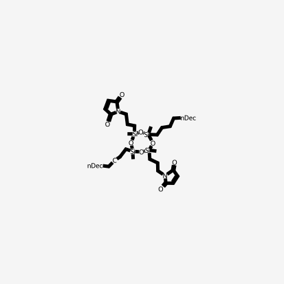 CCCCCCCCCCCCCC[Si]1(C)O[Si](C)(CCCN2C(=O)C=CC2=O)O[Si](C)(CCCCCCCCCCCCCC)O[Si](C)(CCCN2C(=O)C=CC2=O)O1